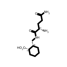 NC(=O)CC[C@H](N)C(=O)NC[C@@H]1CCCC[C@@H]1C(=O)O